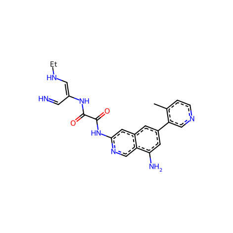 CCN/C=C(\C=N)NC(=O)C(=O)Nc1cc2cc(-c3cnccc3C)cc(N)c2cn1